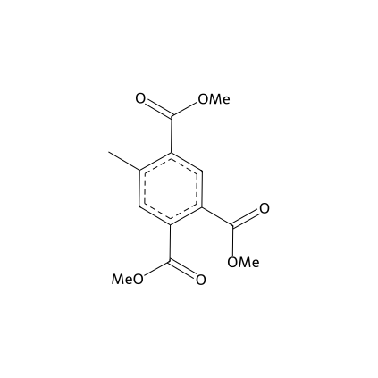 COC(=O)c1cc(C(=O)OC)c(C(=O)OC)cc1C